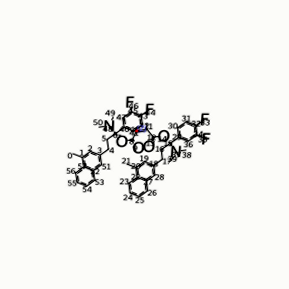 Cc1cc(CCC(OC(=O)/C=C\C(=O)OC(CCc2cc(C)c3ccccc3c2)(c2ccc(F)c(F)c2)N(C)C)(c2ccc(F)c(F)c2)N(C)C)cc2ccccc12